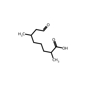 CC(CC=O)CCCC(C)C(=O)O